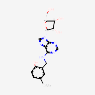 COc1ccc(O)c(CNc2ncnc3c2ncn3[C@@H]2O[C@H](CO)[C@@H](O)[C@@H]2O)c1